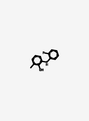 Cc1cccc(Pc2ccccc2F)c1O